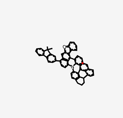 CC1(C)c2ccccc2-c2ccc(-c3ccc(N(c4ccccc4-c4cccc5cccc(C6CCCCC6)c45)c4ccccc4-c4cccc5oc6ccccc6c45)cc3)cc21